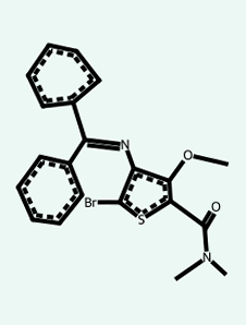 COc1c(C(=O)N(C)C)sc(Br)c1N=C(c1ccccc1)c1ccccc1